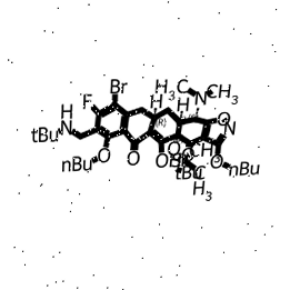 CCCCOc1noc2c1C(=O)[C@@]1(O[Si](C)(C)C(C)(C)C)C(O)=C3C(=O)c4c(c(Br)c(F)c(CNC(C)(C)C)c4OCCCC)C[C@H]3C[C@H]1[C@@H]2N(C)C